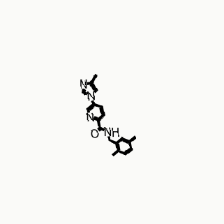 Cc1ccc(C)c(CNC(=O)c2ccc(-n3cnc(C)c3)cn2)c1